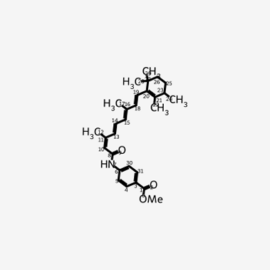 COC(=O)c1ccc(NC(=O)\C=C(C)/C=C/C=C(C)/C=C/C2=C(C)C(C)CCC2(C)C)cc1